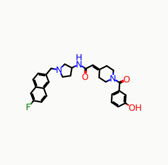 O=C(C=C1CCN(C(=O)c2cccc(O)c2)CC1)NC1CCN(Cc2ccc3cc(F)ccc3c2)C1